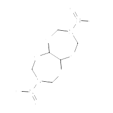 O=[N+]([O-])N1COC2OCN([N+](=O)[O-])COC2OC1